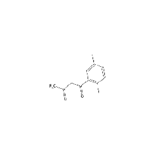 Cc1ccc(C)c(C(=O)CC(=O)C(F)(F)F)c1